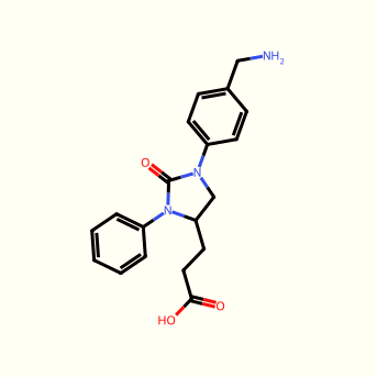 NCc1ccc(N2CC(CCC(=O)O)N(c3ccccc3)C2=O)cc1